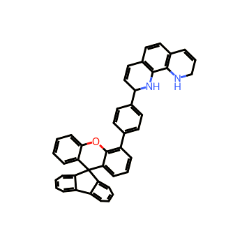 C1=Cc2ccc3c(c2NC1)NC(c1ccc(-c2cccc4c2Oc2ccccc2C42c4ccccc4-c4ccccc42)cc1)C=C3